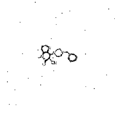 Cn1c(=O)c(C#N)c(N2CCN(Cc3ccccc3)CC2)c2ncccc21